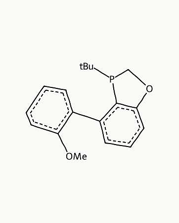 COc1ccccc1-c1cccc2c1P(C(C)(C)C)CO2